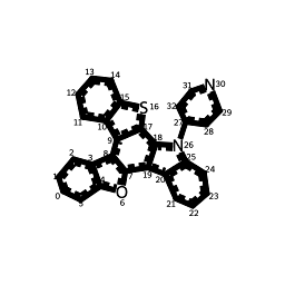 c1ccc2c(c1)oc1c2c2c3ccccc3sc2c2c1c1ccccc1n2-c1ccncc1